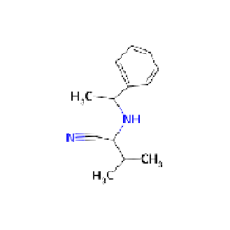 CC(NC(C#N)C(C)C)c1ccccc1